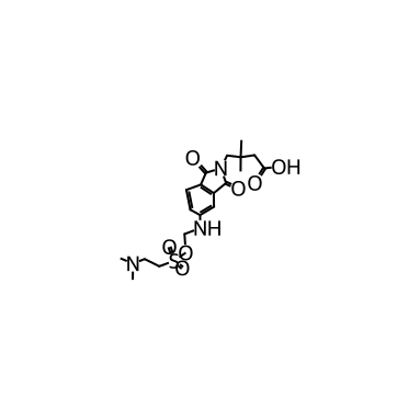 CN(C)CCS(=O)(=O)OCNc1ccc2c(c1)C(=O)N(CC(C)(C)CC(=O)O)C2=O